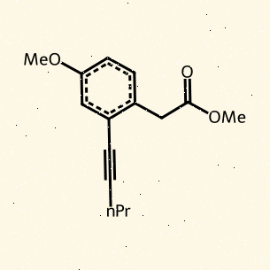 CCCC#Cc1cc(OC)ccc1CC(=O)OC